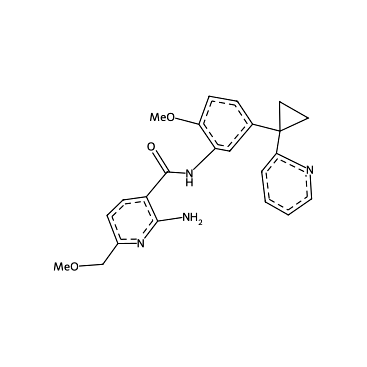 COCc1ccc(C(=O)Nc2cc(C3(c4ccccn4)CC3)ccc2OC)c(N)n1